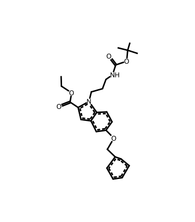 CCOC(=O)c1cc2cc(OCc3ccccc3)ccc2n1CCCNC(=O)OC(C)(C)C